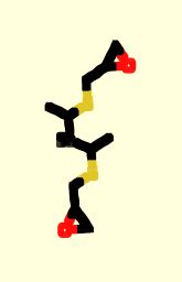 CC(SCC1CO1)[Se]C(C)SCC1CO1